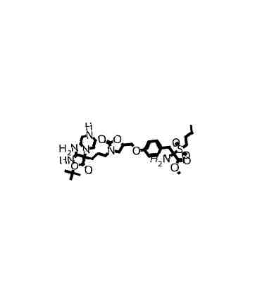 CCCCS(=O)(=O)C(N)(Cc1ccc(OCC2CN(CCCC(C(=N)N)(C(=O)OC(C)(C)C)N3CCNCC3)C(=O)O2)cc1)C(=O)OC